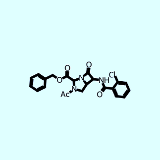 CC(=O)N1CC2C(NC(=O)c3ccccc3Cl)C(=O)N2C1C(=O)OCc1ccccc1